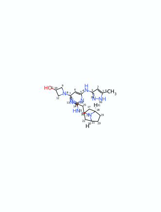 Cc1cc(Nc2cc(N3CC(O)C3)nc(N[C@@H]3C[C@H]4CC[C@@H](C3)N4CCC#N)n2)n[nH]1